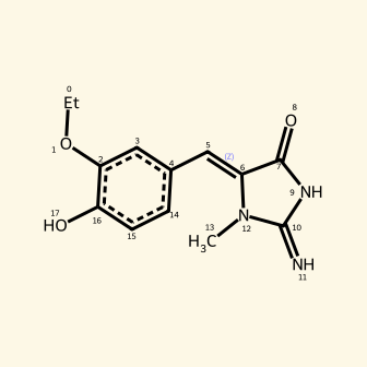 CCOc1cc(/C=C2/C(=O)NC(=N)N2C)ccc1O